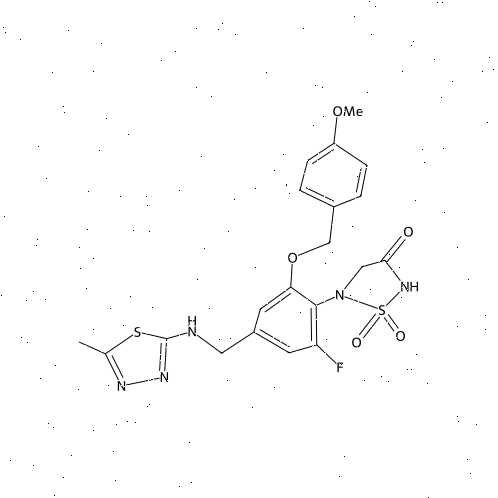 COc1ccc(COc2cc(CNc3nnc(C)s3)cc(F)c2N2CC(=O)NS2(=O)=O)cc1